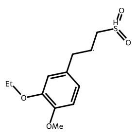 CCOc1cc(C[CH]C[SH](=O)=O)ccc1OC